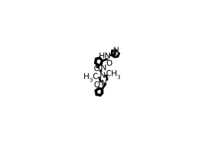 C[C@H]1CN(Cc2ccccc2)C(=O)[C@H](C)N1c1nc2c(C(=O)NC3CN4CCC3CC4)cccc2o1